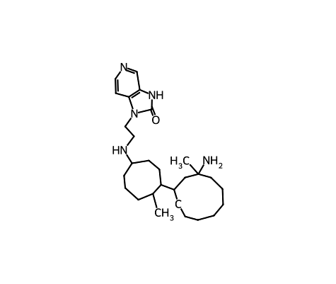 CC1CCCC(NCCn2c(=O)[nH]c3cnccc32)CCC1C1CCCCCCCC(C)(N)C1